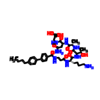 CCCCc1ccc(-c2ccc(C(=O)NCCC(=O)N[C@@H](CCCCN)C(=O)NC(C(=O)N[C@@H](C)C(=O)N[C@@H](CC(N)=O)C(=O)NCB(O)O)C(C)O)cc2)cc1